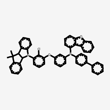 CC1(C)c2ccccc2C2C1c1ccccc1N2c1cccc(Oc2cccc(N(c3ccc(-c4ccccc4)cc3)c3cccc4oc5ccccc5c34)c2)c1Cl